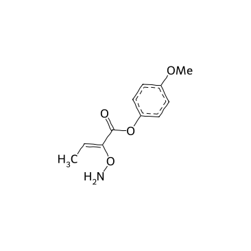 CC=C(ON)C(=O)Oc1ccc(OC)cc1